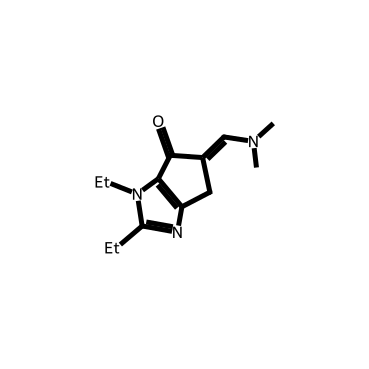 CCc1nc2c(n1CC)C(=O)/C(=C/N(C)C)C2